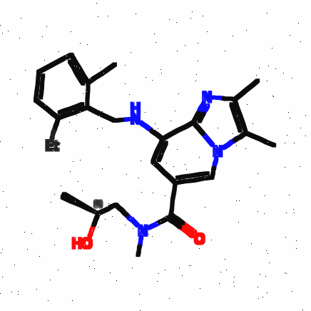 CCc1cccc(C)c1CNc1cc(C(=O)N(C)C[C@H](C)O)cn2c(C)c(C)nc12